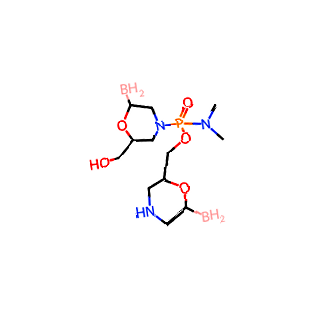 BC1CNCC(COP(=O)(N(C)C)N2CC(B)OC(CO)C2)O1